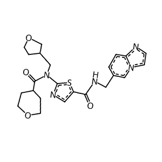 O=C(NCc1ccc2nccn2c1)c1cnc(N(CC2CCOC2)C(=O)C2CCOCC2)s1